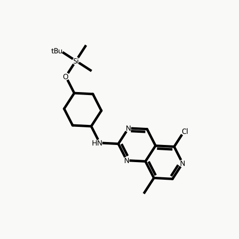 Cc1cnc(Cl)c2cnc(NC3CCC(O[Si](C)(C)C(C)(C)C)CC3)nc12